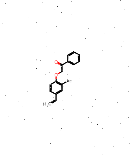 C=Cc1ccc(OCC(=O)c2ccccc2)c(C(C)=O)c1